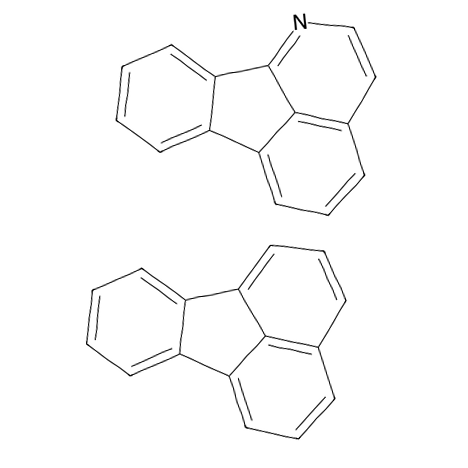 c1ccc2c(c1)-c1cccc3cccc-2c13.c1ccc2c(c1)-c1cccc3ccnc-2c13